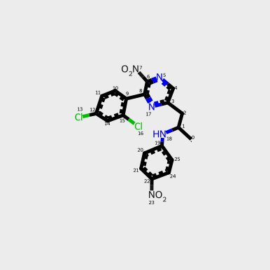 [CH2]C(Cc1cnc([N+](=O)[O-])c(-c2ccc(Cl)cc2Cl)n1)Nc1ccc([N+](=O)[O-])cc1